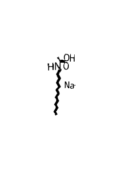 CCCCCCCCCCCCCN[C@@H](C)C(=O)O.[Na]